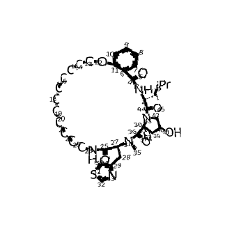 CC(C)C[C@H]1NC(=O)c2ccccc2OCCCCCCCCCCCNC(=O)[C@H](Cc2cscn2)N(C)C(=O)[C@H]2C[C@H](O)CN2C1=O